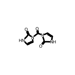 O=C(n1cc[nH]c1=O)n1cc[nH]c1=O